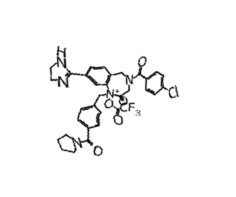 O=C(c1ccc(C[N+]2(OC(=O)C(F)(F)F)C(=O)CN(C(=O)c3ccc(Cl)cc3)Cc3ccc(C4=NCCN4)cc32)cc1)N1CCCC1